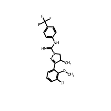 COc1c(Cl)cccc1C1=NN(C(=N)Nc2ccc(C(F)(F)F)cc2)CC1C